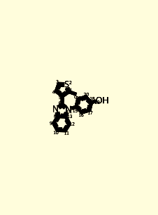 Cc1sccc1-c1nc2ccccc2n1-c1ccc(O)cc1